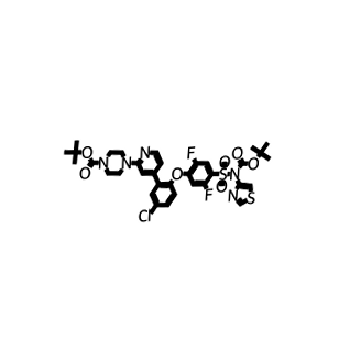 CC(C)(C)OC(=O)N1CCN(c2cc(-c3cc(Cl)ccc3Oc3cc(F)c(S(=O)(=O)N(C(=O)OC(C)(C)C)c4cscn4)cc3F)ccn2)CC1